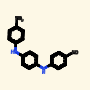 O=Nc1ccc(Nc2ccc(Nc3ccc([N+](=O)[O-])cc3)cc2)cc1